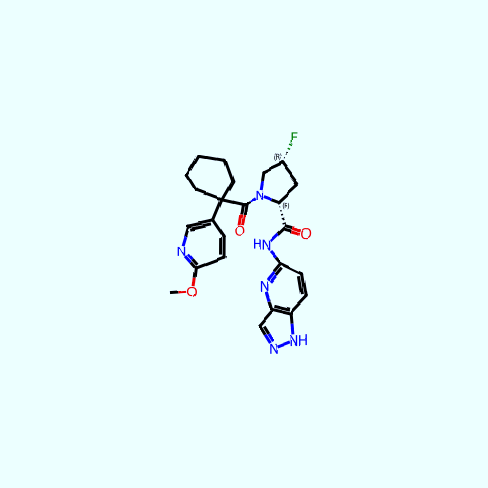 COc1ccc(C2(C(=O)N3C[C@H](F)C[C@@H]3C(=O)Nc3ccc4[nH]ncc4n3)CCCCC2)cn1